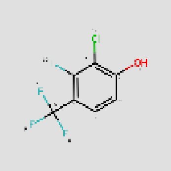 Oc1ccc(C(F)(F)F)c(F)c1Cl